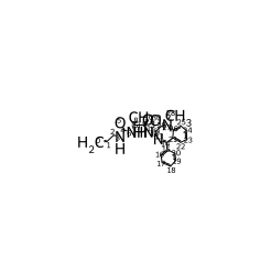 C=CCNC(=O)N[C@@H](C)C(=O)N[C@H]1N=C(c2ccccc2)c2ccccc2N(C)C1=O